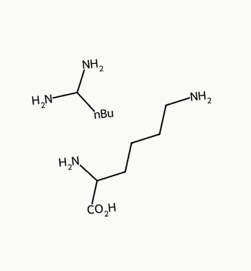 CCCCC(N)N.NCCCCC(N)C(=O)O